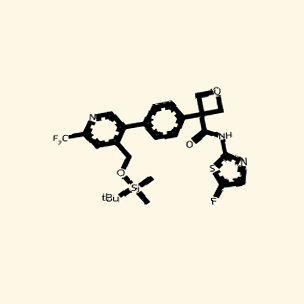 CC(C)(C)[Si](C)(C)OCc1cc(C(F)(F)F)ncc1-c1ccc(C2(C(=O)Nc3ncc(F)s3)COC2)cc1